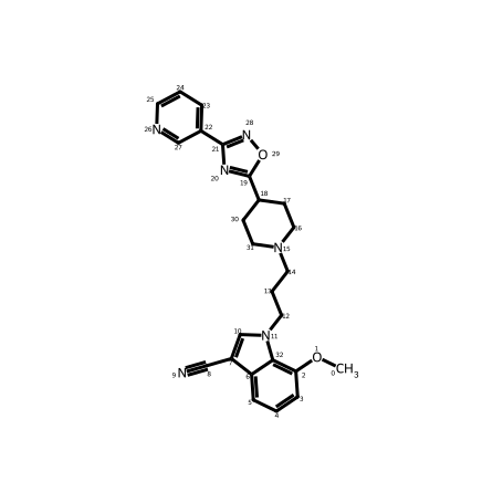 COc1cccc2c(C#N)cn(CCCN3CCC(c4nc(-c5cccnc5)no4)CC3)c12